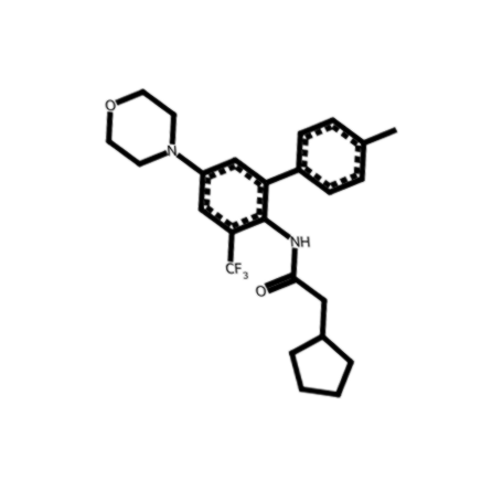 Cc1ccc(-c2cc(N3CCOCC3)cc(C(F)(F)F)c2NC(=O)CC2CCCC2)cc1